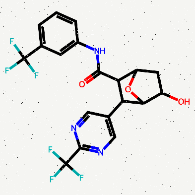 O=C(Nc1cccc(C(F)(F)F)c1)C1C2CC(O)C(O2)C1c1cnc(C(F)(F)F)nc1